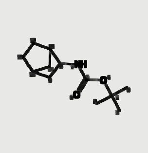 CC(C)(C)OC(=O)NC1CC2CCC1C2